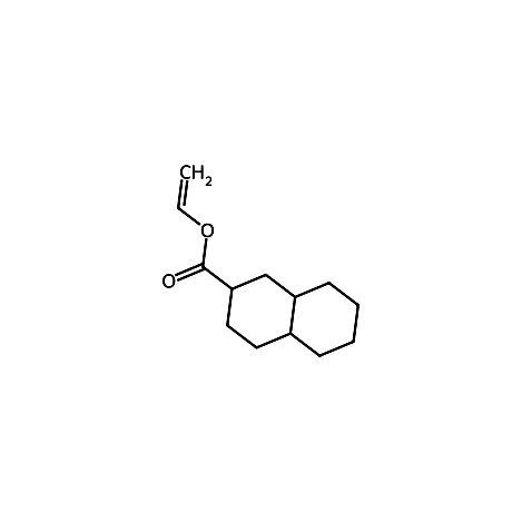 C=COC(=O)C1CCC2CCCCC2C1